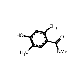 CNC(=O)c1cc(C)c(O)cc1C